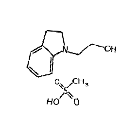 CS(=O)(=O)O.OCCN1CCc2ccccc21